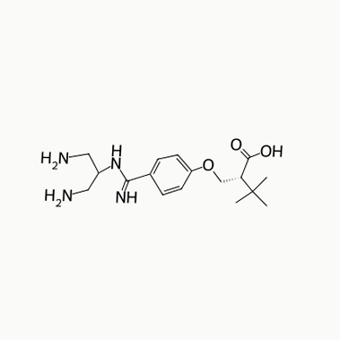 CC(C)(C)[C@H](COc1ccc(C(=N)NC(CN)CN)cc1)C(=O)O